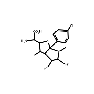 CC(C)C1C(C(C)C)C2C(C)C(C(N)C(=O)O)SC2(c2ccc(Cl)cc2)C1C